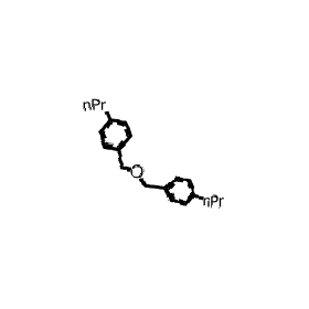 CCCc1ccc(COCc2ccc(CCC)cc2)cc1